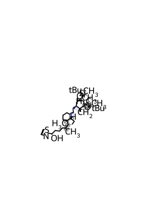 C=C1/C(=C\C=C2/CCC[C@]3(C)[C@@H]([C@H](C)CCCC(O)c4nccs4)CC[C@@H]23)C[C@@H](O[Si](C)(C)C(C)(C)C)C[C@@H]1O[Si](C)(C)C(C)(C)C